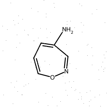 NC1=CC=CON=C1